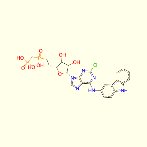 O=P(O)(O)CP(=O)(O)CC[C@H]1O[C@@H](n2cnc3c(Nc4ccc5[nH]c6ccccc6c5c4)nc(Cl)nc32)C(O)C1O